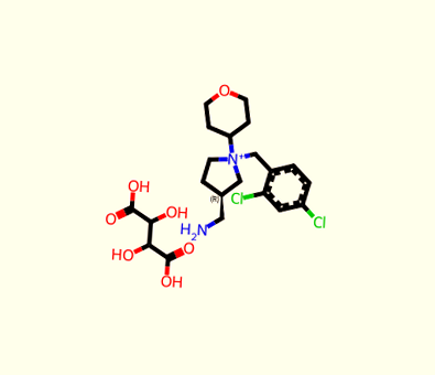 NC[C@H]1CC[N+](Cc2ccc(Cl)cc2Cl)(C2CCOCC2)C1.O=C(O)C(O)C(O)C(=O)O